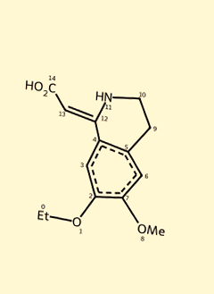 CCOc1cc2c(cc1OC)CCNC2=CC(=O)O